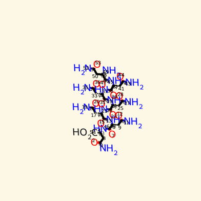 NC(=O)C[C@H](NC(=O)[C@H](CC(N)=O)NC(=O)[C@H](CC(N)=O)NC(=O)[C@H](CC(N)=O)NC(=O)[C@H](CC(N)=O)NC(=O)[C@H](CC(N)=O)NC(=O)[C@@H](N)CC(N)=O)C(=O)O